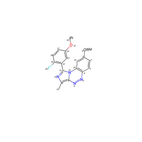 COc1ccc2nnc3c(C)nc(-c4cc(OC(C)C)ccc4F)n3c2c1